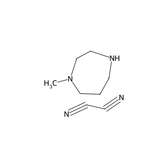 CN1CCCNCC1.N#CC#N